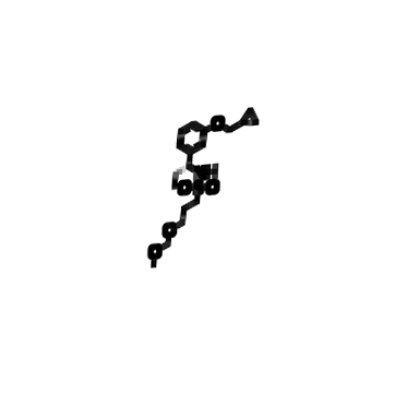 CC[C@@H](NS(=O)(=O)CCCOCOC)c1cccc(OCC2CC2)c1